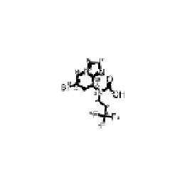 O=C(O)N(CCC(F)(F)F)c1cc(Br)cn2ccnc12